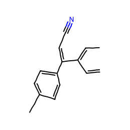 C=CC(=C\C)/C(=C\C#N)c1ccc(C)cc1